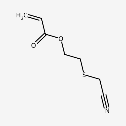 C=CC(=O)OCCSCC#N